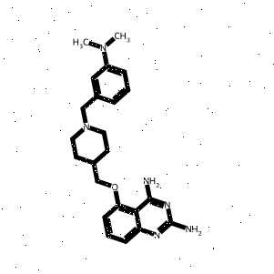 CN(C)c1cccc(CN2CCC(COc3cccc4nc(N)nc(N)c34)CC2)c1